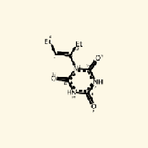 CCC=C(CC)n1c(=O)[nH]c(=O)[nH]c1=O